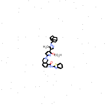 Cc1c(-c2ccc(N3CCc4cccc(C(=O)Nc5nc6ccccc6s5)c4C3)nc2OC(=O)O)cnn1CC12CC3CC(CC(C3)C1)C2